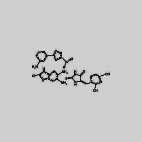 Nc1cc2nc(Cl)[nH]c2cc1N.Nc1cccc(-n2cnc([N+](=O)[O-])c2)c1.O=C1NC(=S)NC1=Cc1ccc(O)cc1O